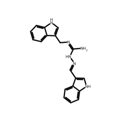 NC(=NCc1c[nH]c2ccccc12)NN=Cc1c[nH]c2ccccc12